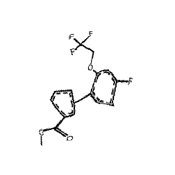 COC(=O)c1cccc(-c2ccc(F)cc2OCC(F)(F)F)c1